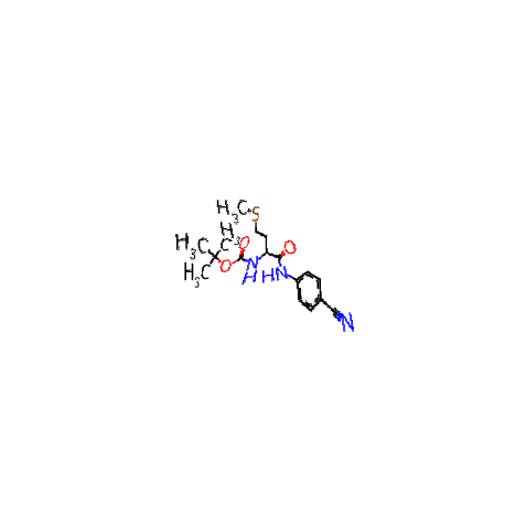 CSCCC(NC(=O)OC(C)(C)C)C(=O)Nc1ccc(C#N)cc1